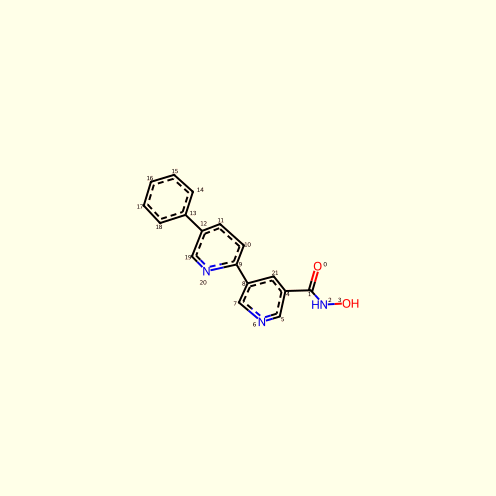 O=C(NO)c1cncc(-c2ccc(-c3ccccc3)cn2)c1